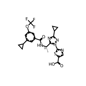 C[C@H](NC(=O)c1cc(OC(F)(F)F)cc(C2CC2)c1)c1nc(C2CC2)nn1-c1ncc(C(=O)O)s1